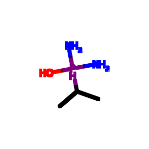 CC(C)[PH](N)(N)O